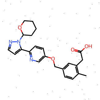 Cc1ccc(COc2ccc(-c3ccnn3C3CCCCO3)nc2)cc1CC(=O)O